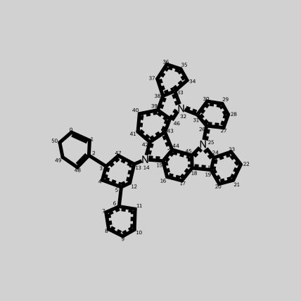 C1=CC(c2cc(-c3ccccc3)cc(-n3c4ccc5c6ccccc6n6c7ccccc7n7c8ccccc8c8ccc3c(c4c56)c87)c2)=CCC1